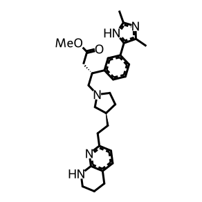 COC(=O)C[C@@H](CN1CC[C@@H](CCc2ccc3c(n2)NCCC3)C1)c1cccc(-c2[nH]c(C)nc2C)c1